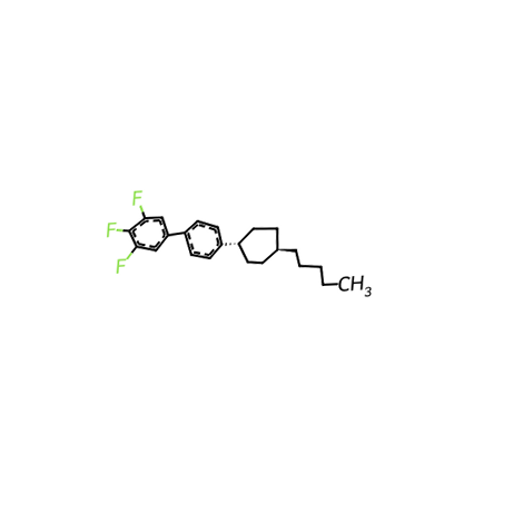 CCCCC[C@H]1CC[C@H](c2ccc(-c3cc(F)c(F)c(F)c3)cc2)CC1